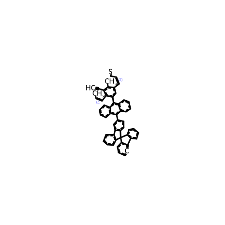 C#Cc1c(C)c(/C=C\C=S)cc(-c2c3ccccc3c(-c3ccc4c(c3)-c3ccccc3C43c4ccccc4-c4ccccc43)c3ccccc23)c1/C=C\C